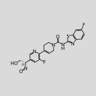 O=N[C@H](CO)c1cnc(C2=CCN(C(=O)Nc3nc4ccc(F)cc4s3)CC2)c(F)c1